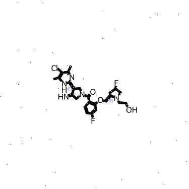 CC1=N/C(=C2\CN(C(=O)c3ccc(F)cc3O/C=C3\CC(F)CN3CCO)CC2=N)NC(C)=C1Cl